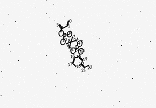 C=CC(=C)OP1OCC2(CO1)COP(OC(/C=C\C)=C/C=C\C)OC2